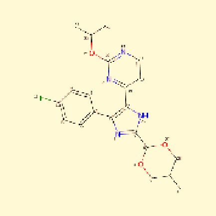 CC1COC(c2nc(-c3ccc(F)cc3)c(-c3ccnc(OC(C)C)n3)[nH]2)OC1